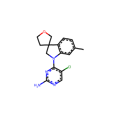 Cc1ccc2c(c1)N(c1nc(N)ncc1Cl)CC21CCOC1